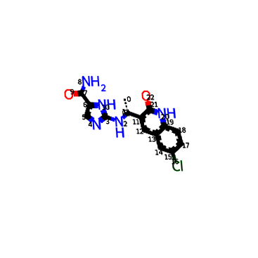 C[C@@H](Nc1ncc(C(N)=O)[nH]1)c1cc2cc(Cl)ccc2[nH]c1=O